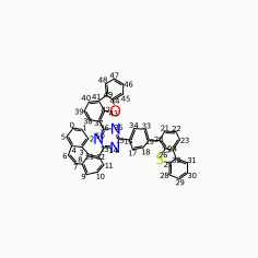 c1ccc2c(c1)ccc1cccc(-c3nc(-c4ccc(-c5cccc6c5sc5ccccc56)cc4)nc(-c4cccc5c4oc4ccccc45)n3)c12